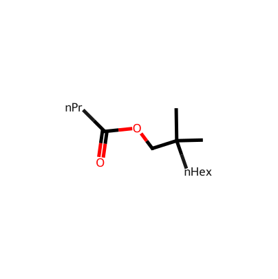 CCCCCCC(C)(C)COC(=O)CCC